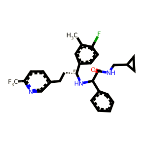 Cc1cc([C@@H](CCc2ccc(C(F)(F)F)nc2)NC(C(=O)NCC2CC2)c2ccccc2)ccc1F